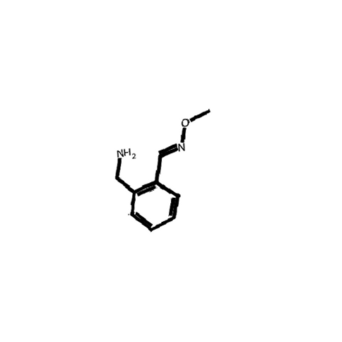 CON=Cc1ccc[c]c1CN